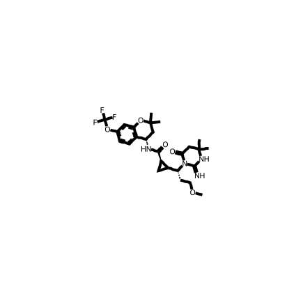 COCC[C@H](C1C[C@H]1C(=O)N[C@H]1CC(C)(C)Oc2cc(OC(F)(F)F)ccc21)N1C(=N)NC(C)(C)CC1=O